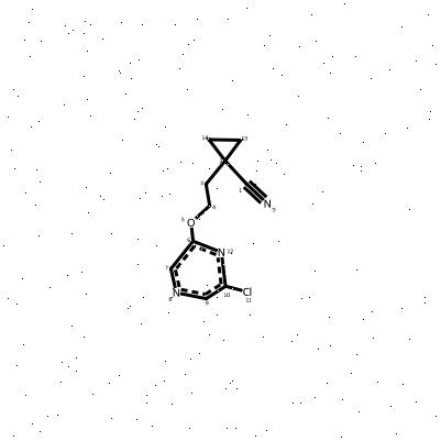 N#CC1(CCOc2cncc(Cl)n2)CC1